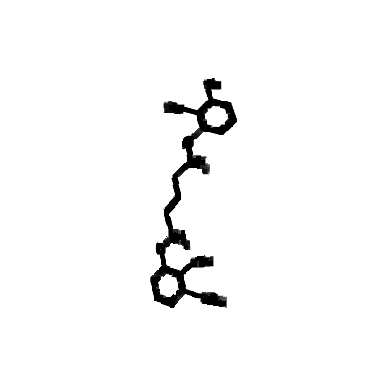 CC(C)(C)c1cccc(O[SiH2]CCC[SiH2]Oc2cccc(C(C)(C)C)c2C(C)(C)C)c1C(C)(C)C